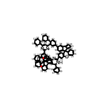 C1=C(c2ccc3c(c2)oc2ccccc23)N=C(c2ccc3c(c2)Oc2ccccc2C32c3ccccc3-c3cc(-c4ccc(-c5ccccc5)c(-c5cc(-c6ccccc6)nc(-c6ccc7c(c6)Oc6ccccc6C76c7ccccc7-c7ccccc76)n5)c4)ccc32)NC1c1ccccc1